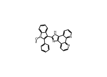 COn1c(-c2ccccc2)c(-c2nc3c4cccnc4c4ncccc4c3[nH]2)c2ccccc21